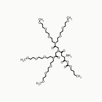 CCCCOC(=O)OC(=O)[C@@H](N)CC(=O)N(CC(=O)N(CCOCCOCCOC)CCOCCOCCOC)CC(=O)N(CCOCCOCCOC)CCOCCOCCOC